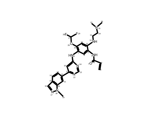 C=CC(=O)Nc1cc(Nc2cc(-c3ccc4cnn(C)c4c3)ncn2)c(OC(F)F)cc1NCCN(C)C